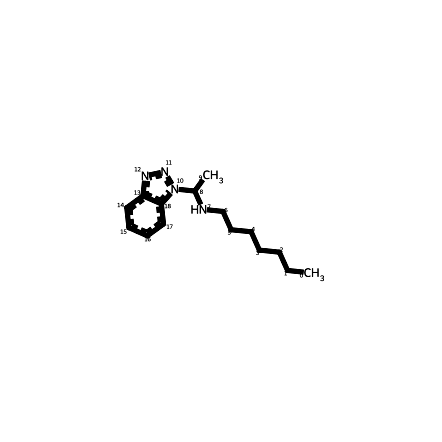 CCCCCCCNC(C)n1nnc2ccccc21